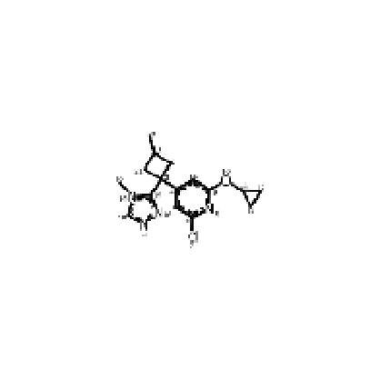 CC1CC(c2cc(Cl)nc(OC3CC3)c2)(c2nncn2C)C1